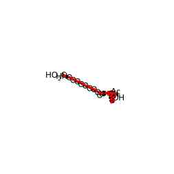 CC(=O)N1c2ccc(C3=CCN(C(=O)COCCOCCOCCOCCOCCOCCOCCOCCNC(=O)O)CC3)cc2N(Cc2ccccc2CO)C[C@@H]1C1CC1